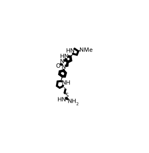 CN[C@H]1CN[C@H](c2cc3cn(-c4ccc([C@@H]5CCC[C@@H](CCSC(=N)N)N5)cc4)c(=O)nc3[nH]2)C1